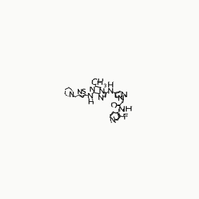 Cc1cn2c(Nc3cnn(CC(=O)Nc4ccncc4F)c3)cnc2c(Nc2cc(CN3CCCCC3)ns2)n1